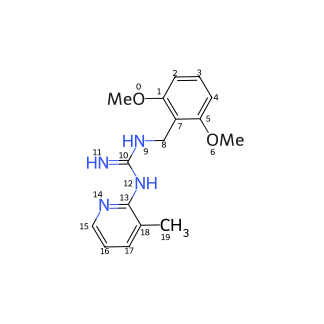 COc1cccc(OC)c1CNC(=N)Nc1ncccc1C